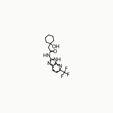 O=C(CC1(O)CCCCC1)Nc1nc2ccc(C(F)(F)F)nc2[nH]1